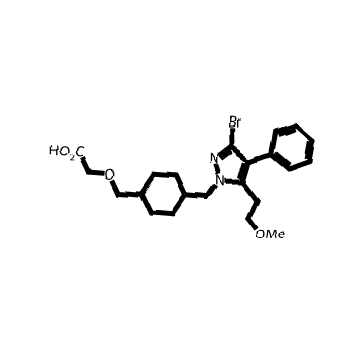 COCCc1c(-c2ccccc2)c(Br)nn1CC1CCC(COCC(=O)O)CC1